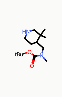 CN(CC1CCNCC1(C)C)C(=O)OC(C)(C)C